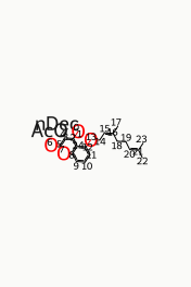 CCCCCCCCCCOc1c(OC(C)=O)c(=O)oc2cccc(OCC=C(C)CCC=C(C)C)c12